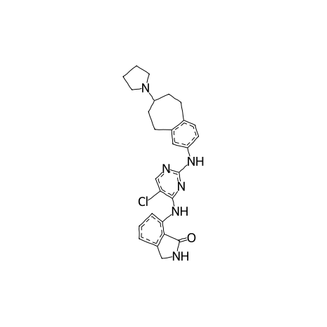 O=C1NCc2cccc(Nc3nc(Nc4ccc5c(c4)CCC(N4CCCC4)CC5)ncc3Cl)c21